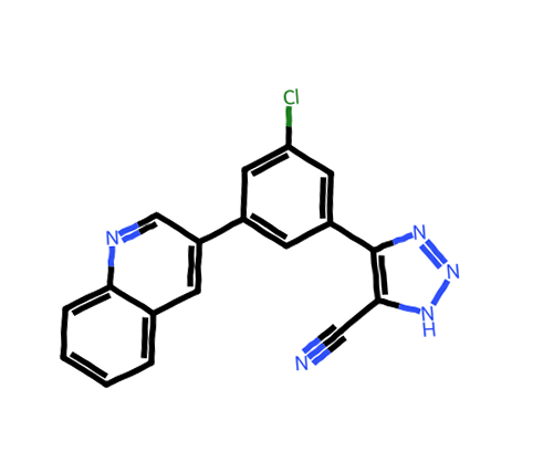 N#Cc1[nH]nnc1-c1cc(Cl)cc(-c2cnc3ccccc3c2)c1